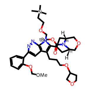 COCOc1ccccc1-c1cc2c(CCCOC3CCOC3)c(C3C[C@H]4COC[C@@H](C3)N4C(=O)OC(C)(C)C)n(COCC[Si](C)(C)C)c2nn1